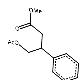 COC(=O)CC(COC(C)=O)c1ccccc1